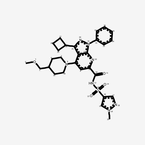 COCC1CCN(c2cc(C(=O)NS(=O)(=O)c3cnn(C)c3)nc3c2c(C2CCC2)nn3-c2ccccc2)CC1